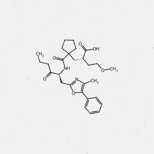 CCCC(=O)[C@H](Cc1nc(C)c(-c2ccccc2)o1)NC(=O)C1(C[C@@H](CCOC)C(=O)O)CCCC1